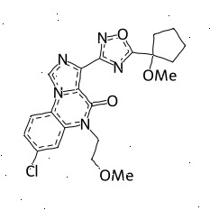 COCCn1c(=O)c2c(-c3noc(C4(OC)CCCC4)n3)ncn2c2ccc(Cl)cc21